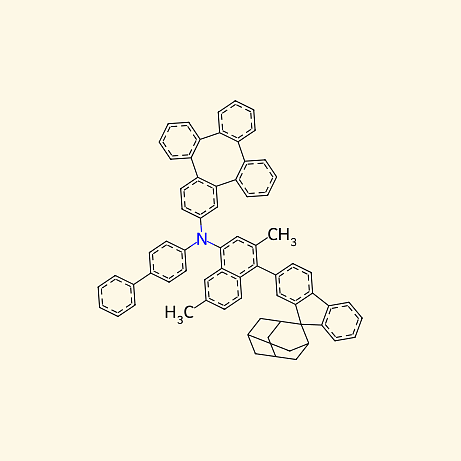 Cc1ccc2c(-c3ccc4c(c3)C3(c5ccccc5-4)C4CC5CC(C4)CC3C5)c(C)cc(N(c3ccc(-c4ccccc4)cc3)c3ccc4c(c3)-c3ccccc3-c3ccccc3-c3ccccc3-4)c2c1